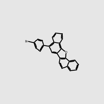 Brc1ccc(-c2cc3c4ccc5ccccc5c4oc3c3ccccc23)cc1